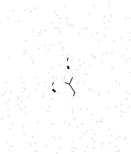 NC(N)[CH2][Al+2].O=P[O-].O=P[O-]